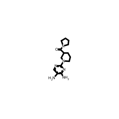 Nc1cnc(N2CCCC(C(=O)N3CCCC3)C2)nc1N